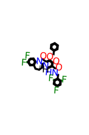 O=C(NCc1c(F)cc(F)cc1F)c1cn2c(c(OCc3ccccc3)c1=O)C(=O)N1C[C@H]2CCc2cc(F)c(F)cc21